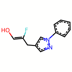 O/C=C(\F)Cc1cnn(-c2ccccc2)c1